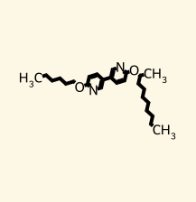 CCCCCCCCC(C)Oc1ccc(-c2ccc(OCCCCCC)nc2)cn1